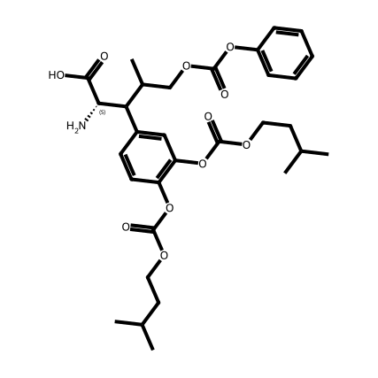 CC(C)CCOC(=O)Oc1ccc(C(C(C)COC(=O)Oc2ccccc2)[C@H](N)C(=O)O)cc1OC(=O)OCCC(C)C